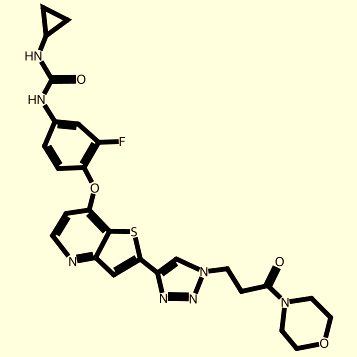 O=C(Nc1ccc(Oc2ccnc3cc(-c4cn(CCC(=O)N5CCOCC5)nn4)sc23)c(F)c1)NC1CC1